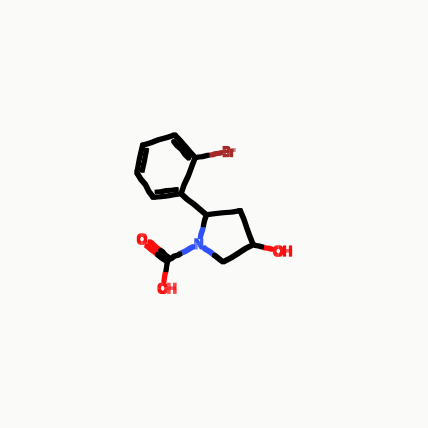 O=C(O)N1CC(O)CC1c1ccccc1Br